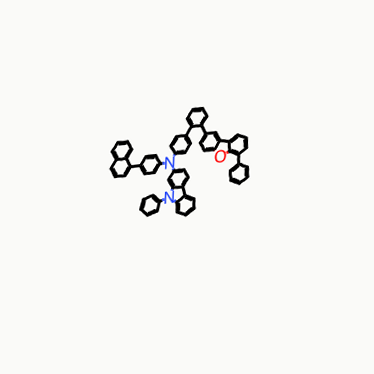 c1ccc(-c2cccc3c2oc2ccc(-c4ccccc4-c4ccc(N(c5ccc(-c6cccc7ccccc67)cc5)c5ccc6c7ccccc7n(-c7ccccc7)c6c5)cc4)cc23)cc1